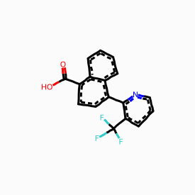 O=C(O)c1ccc(-c2ncccc2C(F)(F)F)c2ccccc12